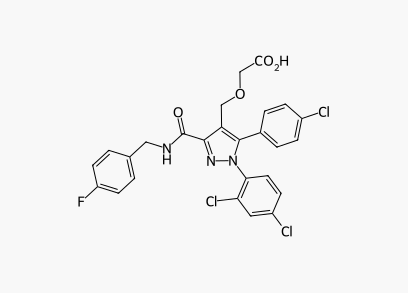 O=C(O)COCc1c(C(=O)NCc2ccc(F)cc2)nn(-c2ccc(Cl)cc2Cl)c1-c1ccc(Cl)cc1